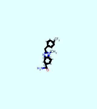 Cn1c(Cc2ccc(C(F)(F)F)cc2)nc2cc(C(N)=O)ccc21